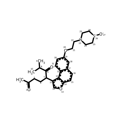 CC(=O)CCC(C(=O)C(C)C)c1coc2ccc3cc(OCCN4CC[S+]([O-])CC4)ccc3c12